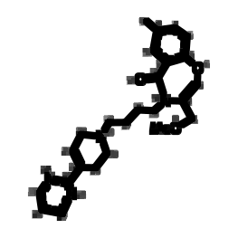 COCC1=COc2ccc(C)cc2C(=O)N1CCCCN1CC=C(c2ncccn2)CC1